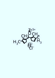 CC1=CCC(C(C[O][Zr+3])C2=C(C)C(C)=CC2)=C1C.[Cl-].[Cl-].[Cl-]